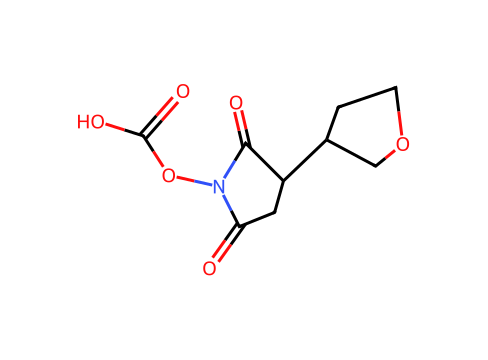 O=C(O)ON1C(=O)CC(C2CCOC2)C1=O